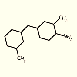 CC1CCCC(CC2CCC(N)C(C)C2)C1